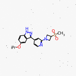 CC(C)Oc1ccc2[nH]nc(-c3ccnc(N4CC(S(C)(=O)=O)C4)c3)c2c1